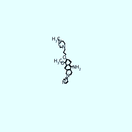 COc1c(OCCCN2CCN(C)CC2)ccc2c(N)c3c(cc12)CN(n1ccnc1)C=C3